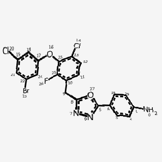 Nc1ccc(-c2nnc(Cc3ccc(Cl)c(Oc4cc(Cl)cc(Br)c4)c3F)o2)cc1